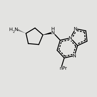 CCCc1cc(N[C@H]2CC[C@H](N)C2)n2nccc2n1